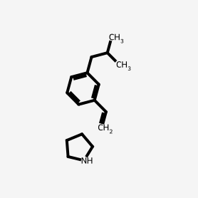 C1CCNC1.C=Cc1cccc(CC(C)C)c1